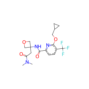 CN(C)C(=O)CC1(NC(=O)c2ccc(C(F)(F)F)c(OCC3CC3)n2)COC1